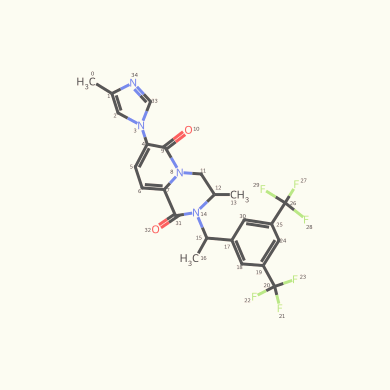 Cc1cn(-c2ccc3n(c2=O)CC(C)N(C(C)c2cc(C(F)(F)F)cc(C(F)(F)F)c2)C3=O)cn1